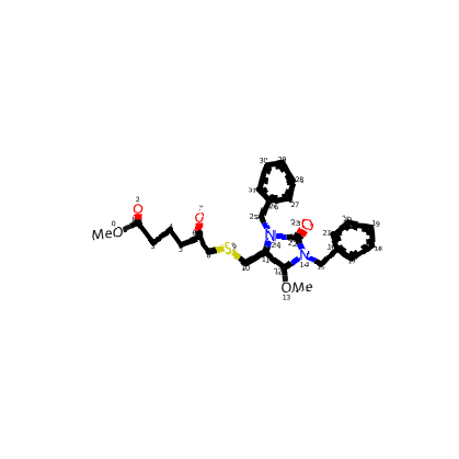 COC(=O)CCCC(=O)CSCC1C(OC)N(Cc2ccccc2)C(=O)N1Cc1ccccc1